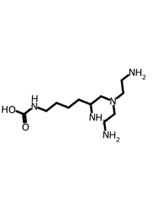 NCCN(CCN)CC(N)CCCCNC(=O)O